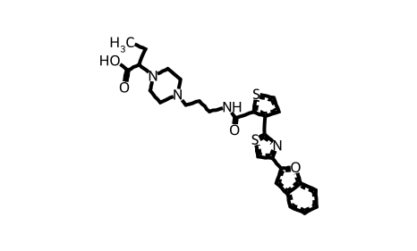 CCC(C(=O)O)N1CCN(CCCNC(=O)c2sccc2-c2nc(-c3cc4ccccc4o3)cs2)CC1